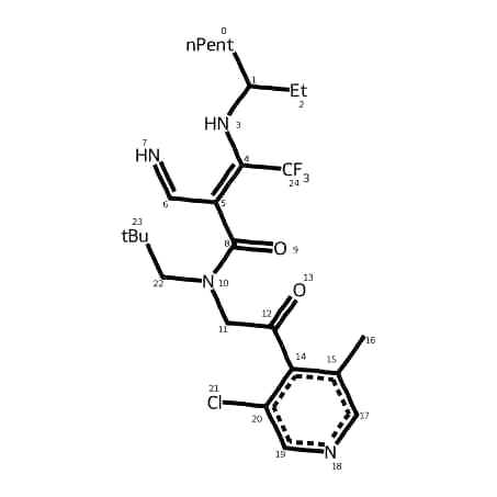 CCCCCC(CC)N/C(=C(\C=N)C(=O)N(CC(=O)c1c(C)cncc1Cl)CC(C)(C)C)C(F)(F)F